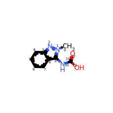 Cn1nc2ccccc2c1NC(=O)O